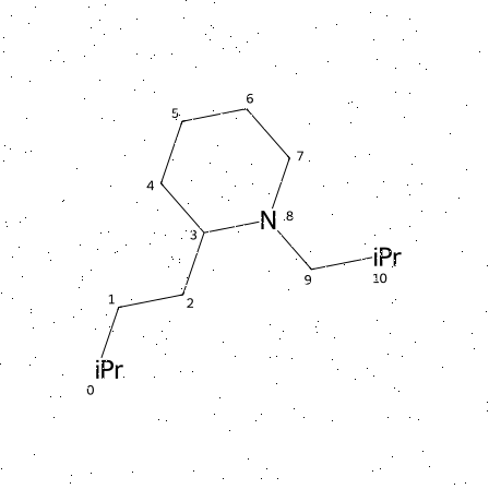 CC(C)CCC1CCCCN1CC(C)C